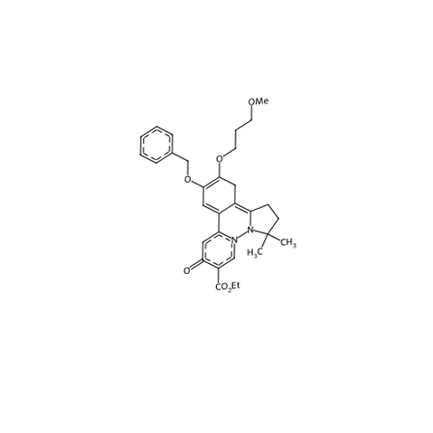 CCOC(=O)c1cn2c(cc1=O)C1=CC(OCc3ccccc3)=C(OCCCOC)CC1=C1CCC(C)(C)N12